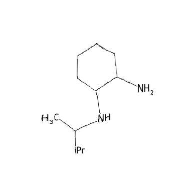 CC(C)C(C)NC1CCCCC1N